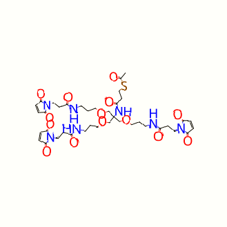 CC(=O)SCCC(=O)NC(COCCCNC(=O)CCN1C(=O)C=CC1=O)(COCCCNC(=O)CCN1C(=O)C=CC1=O)COCCCNC(=O)CCN1C(=O)C=CC1=O